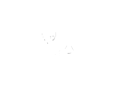 O=C(CCC(=O)N1CCC[C@H]1C(=O)O)c1ccc(Cl)cc1